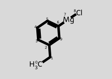 CCc1ccc[c]([Mg][Cl])c1